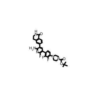 CC(C)(C)OC(=O)N1CCN(c2ccc(-c3cc(-c4ccc5c(c4)CCNC5=O)c(N)nc3F)c(F)c2F)CC1